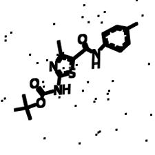 Cc1ccc(NC(=O)c2sc(NC(=O)OC(C)(C)C)nc2C)cc1